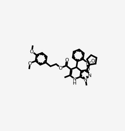 COc1ccc(CCOC(=O)C2=C(C)Nc3c(c(C4CCCC4)nn3C)C2c2ccccc2[N+](=O)[O-])cc1OC